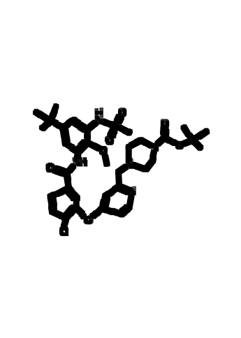 COc1c(NC(=O)c2ccc(Cl)c(Oc3ccnc(CN4CCN(C(=O)OC(C)(C)C)CC4)c3)c2)cc(C(C)(C)C)cc1NS(C)(=O)=O